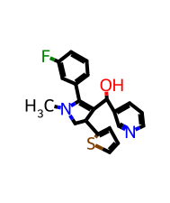 CN1CC(c2cccs2)C(C(O)c2cccnc2)=C1c1cccc(F)c1